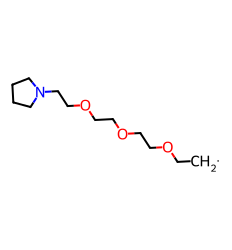 [CH2]COCCOCCOCCN1CCCC1